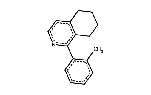 Cc1ccccc1-c1nccc2c1CCCC2